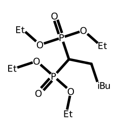 CCOP(=O)(OCC)C(CC(C)CC)P(=O)(OCC)OCC